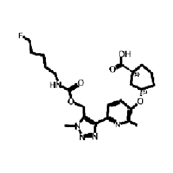 Cc1nc(-c2nnn(C)c2COC(=O)NCCCCCF)ccc1O[C@H]1CCC[C@H](C(=O)O)C1